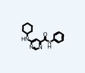 O=C(Nc1ccccc1)c1cc(NC2CCCCC2)ncn1